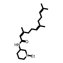 CCN1CCCC(NC(=O)C=C(C)CCC=C(C)CCC=C(C)C)C1